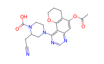 CC(=O)Oc1cc2ncnc(N3CCN(C(=O)O)C(CC#N)C3)c2c2c1CCCO2